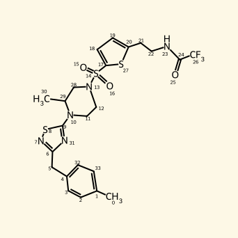 Cc1ccc(Cc2nsc(N3CCN(S(=O)(=O)c4ccc(CCNC(=O)C(F)(F)F)s4)CC3C)n2)cc1